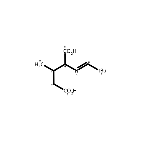 CC(CC(=O)O)C(N=CC(C)(C)C)C(=O)O